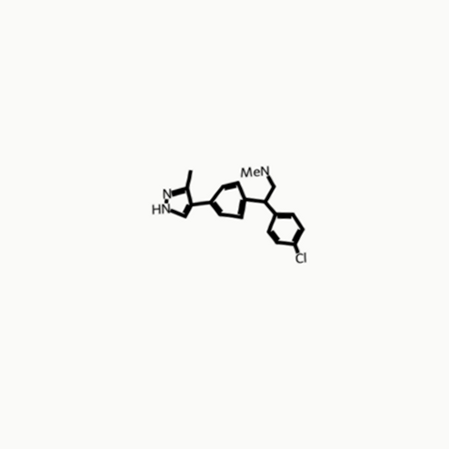 CNCC(c1ccc(Cl)cc1)c1ccc(-c2c[nH]nc2C)cc1